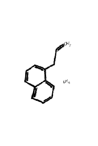 C.C=CCc1cccc2ccccc12